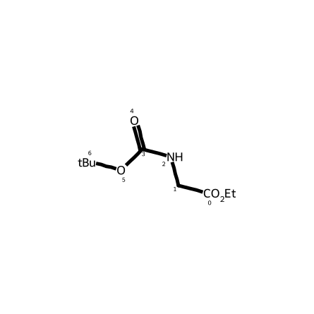 CCOC(=O)CNC(=O)OC(C)(C)C